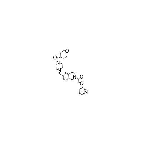 O=C(COc1cccnc1)N1CCc2cc(CN3CCN(C(=O)C4CCOCC4)CC3)ccc2C1